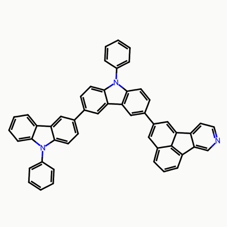 c1ccc(-n2c3ccccc3c3cc(-c4ccc5c(c4)c4cc(-c6cc7c8c(cccc8c6)-c6cnccc6-7)ccc4n5-c4ccccc4)ccc32)cc1